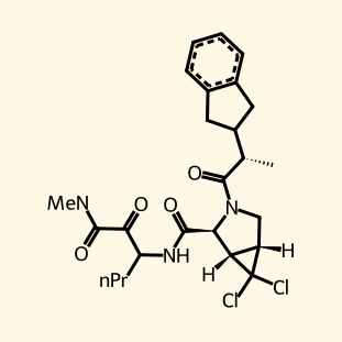 CCCC(NC(=O)[C@@H]1[C@@H]2[C@H](CN1C(=O)[C@@H](C)C1Cc3ccccc3C1)C2(Cl)Cl)C(=O)C(=O)NC